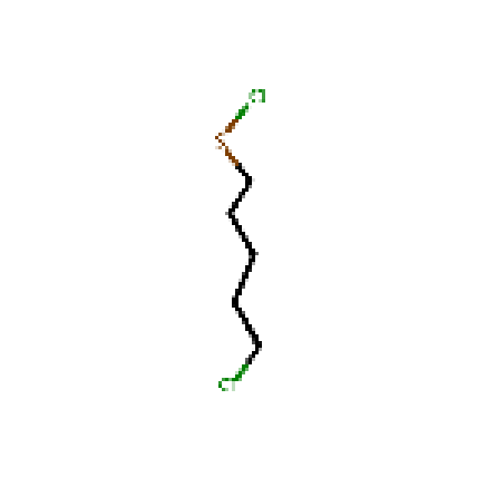 ClCCCCCSCl